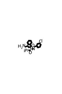 CC(C)C(=O)N1N=C(c2cccc(Cl)c2)OC1(CCCN)c1ccccc1